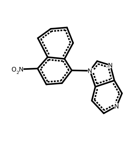 O=[N+]([O-])c1ccc(-n2cnc3cnccc32)c2ccccc12